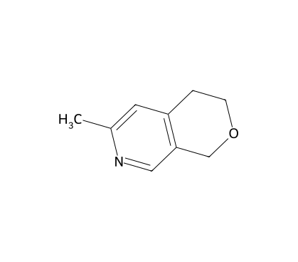 Cc1cc2c(cn1)COCC2